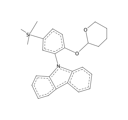 C[Si](C)(C)c1ccc(OC2CCCCO2)c(-n2c3ccccc3c3ccccc32)c1